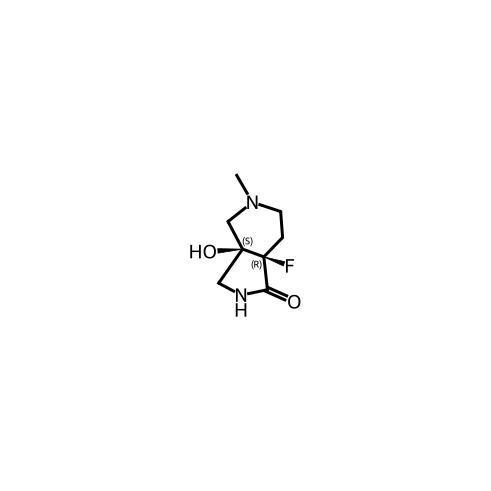 CN1CC[C@]2(F)C(=O)NC[C@]2(O)C1